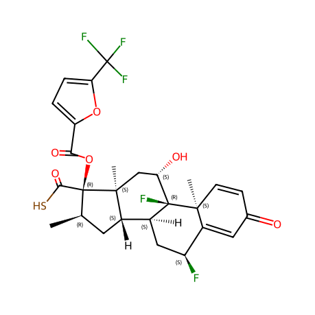 C[C@@H]1C[C@H]2[C@@H]3C[C@H](F)C4=CC(=O)C=C[C@]4(C)[C@@]3(F)[C@@H](O)C[C@]2(C)[C@@]1(OC(=O)c1ccc(C(F)(F)F)o1)C(=O)S